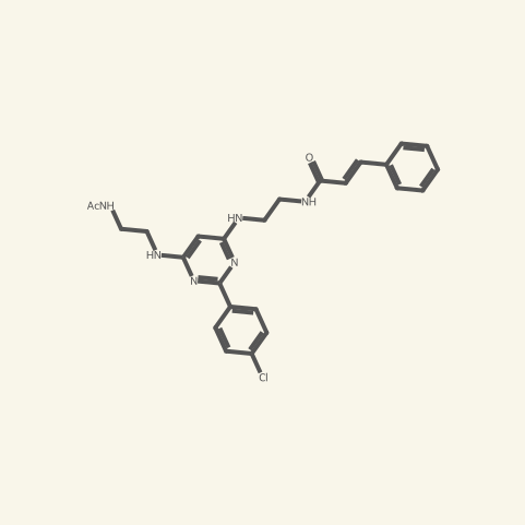 CC(=O)NCCNc1cc(NCCNC(=O)C=Cc2ccccc2)nc(-c2ccc(Cl)cc2)n1